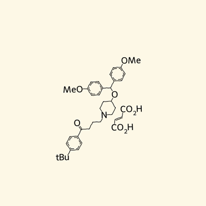 COc1ccc(C(OC2CCN(CCCC(=O)c3ccc(C(C)(C)C)cc3)CC2)c2ccc(OC)cc2)cc1.O=C(O)C=CC(=O)O